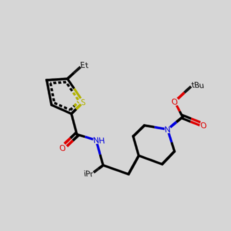 CCc1ccc(C(=O)NC(CC2CCN(C(=O)OC(C)(C)C)CC2)C(C)C)s1